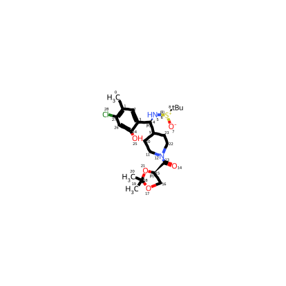 Cc1cc([C@H](N[S@@+]([O-])C(C)(C)C)C2CCN(C(=O)[C@H]3COC(C)(C)O3)CC2)c(O)cc1Cl